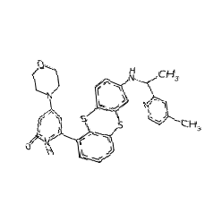 Cc1ccnc(C(C)Nc2ccc3c(c2)Sc2cccc(-c4cc(N5CCOCC5)cc(=O)[nH]4)c2S3)c1